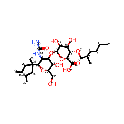 CCCCC(C)CO[C@@H]1C(C(=O)O)O[C@@H](OC2C(NC(N)=O)C(C(C)(CCC)CCC)OC(CO)[C@H]2O)C(O)C1O